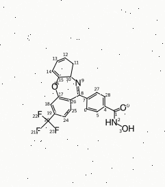 O=C(NO)c1ccc(C2=NC3CC=CC=C3Oc3cc(C(F)(F)F)ccc32)cc1